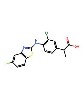 CC(C(=O)O)c1ccc(Nc2nc3cc(F)ccc3s2)c(Cl)c1